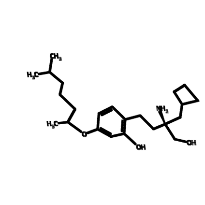 CC(C)CCCC(C)Oc1ccc(CC[C@@](N)(CO)CC2CCC2)c(O)c1